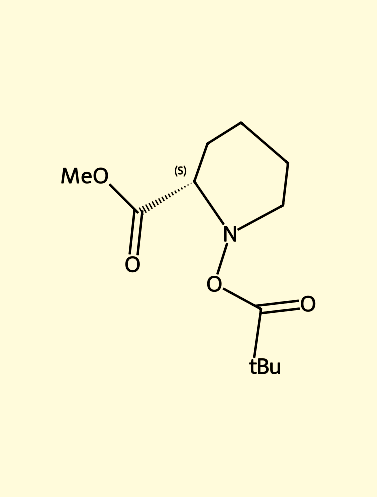 COC(=O)[C@@H]1CCCCN1OC(=O)C(C)(C)C